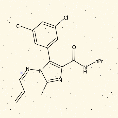 C=C/C=N\n1c(C)nc(C(=O)NCCC)c1-c1cc(Cl)cc(Cl)c1